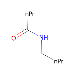 CCCCNC(=O)CCC